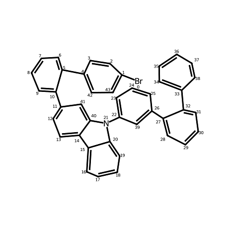 Brc1ccc(-c2ccccc2-c2ccc3c4ccccc4n(-c4cccc(-c5ccccc5-c5ccccc5)c4)c3c2)cc1